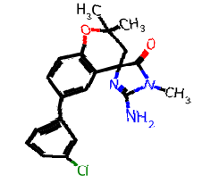 CN1C(=O)C2(CC(C)(C)Oc3ccc(-c4cccc(Cl)c4)cc32)N=C1N